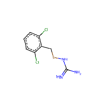 N=C(N)NSCc1c(Cl)cccc1Cl